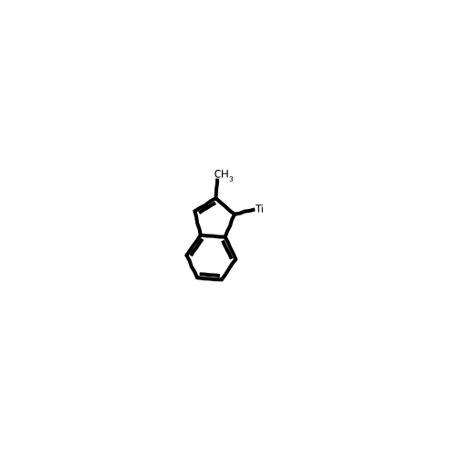 CC1=Cc2ccccc2[CH]1[Ti]